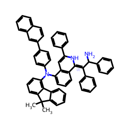 CC1(C)c2ccccc2-c2c(N(c3ccc(-c4ccc5ccccc5c4)cc3)c3cccc4c3C=C(c3ccccc3)N/C4=C(/c3ccccc3)C(N)c3ccccc3)cccc21